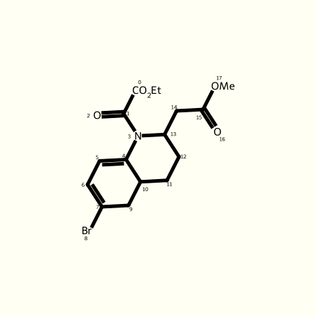 CCOC(=O)C(=O)N1C2=CC=C(Br)CC2CCC1CC(=O)OC